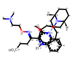 CC[C@H]1C[C@@H](C)C[C@@H](N2[C@@H]3CCC[C@H]2C[C@@H](n2c(=O)c(/C(CCC(=O)O)=N/OCCN(C)C)nc4ccccc42)C3)C[C@@H](C)C1